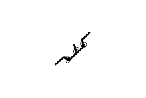 CCCCCCC/C=C\COC(=O)C(C)(C)CCCCCC(CCCCCC(C)(C)C(=O)OC/C=C\CCCCCCC)OC(=O)CCCC